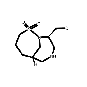 O=S1(=O)CCC[C@H]2CNC[C@H](CO)N1C2